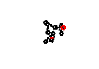 C(=C(c1ccccc1)c1ccccc1)N(c1ccc(/C=C/c2cc3ccccc3cc2/C=C/c2ccc(N(C=C(c3ccccc3)c3ccccc3)c3cccc4c3CCCC4)cc2)cc1)c1cccc2c1CCCC2